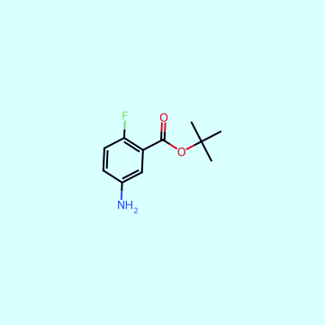 CC(C)(C)OC(=O)c1cc(N)ccc1F